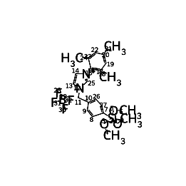 CO[Si](OC)(OC)c1ccc(Cn2cc[n+](-c3c(C)cc(C)cc3C)c2)cc1.F[B-](F)(F)F